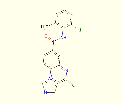 Cc1cccc(Cl)c1NC(=O)c1ccc2c(c1)nc(Cl)c1cncn12